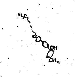 CCCCCCCCOc1ccc(-c2ccc(C3(O)CCC(C)CC3)cc2)cc1